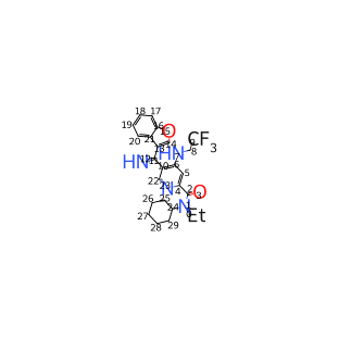 CCN(C(=O)c1cc(NCC(F)(F)F)c(C(=N)c2coc3ccccc23)cn1)C1CCCCC1